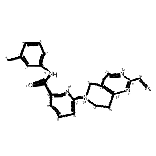 Cc1cccc(NC(=O)c2cccc(N3CCc4nc(C=S)ncc4C3)n2)c1